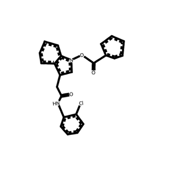 O=C(Cc1cn(OC(=O)c2ccccc2)c2ccccc12)Nc1ccccc1Cl